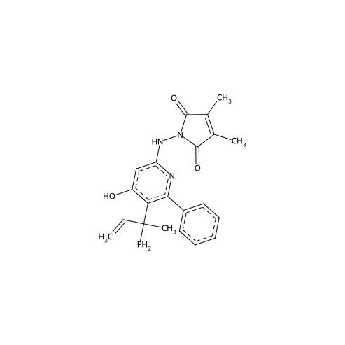 C=CC(C)(P)c1c(O)cc(NN2C(=O)C(C)=C(C)C2=O)nc1-c1ccccc1